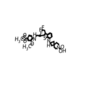 COc1cc(S(C)(=O)=O)ccc1NCC#Cc1sc2c(NC3CC4(CCN(C(=O)O)CC4)C3)cccc2c1CC(F)(F)F